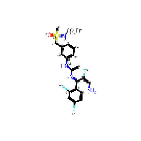 C=C(/N=C(\C(F)=C/N)c1ccc(F)cc1F)Nc1cccc(CS(C)(=O)=NC(=O)OCC)c1